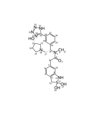 CN(C(=O)Cc1ccc2c(c1)NS(O)(O)C2)[C@H](CN1CC[C@H](O)C1)c1cccc(-c2nnn[nH]2)c1